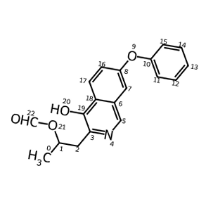 CC(Cc1ncc2cc(Oc3ccccc3)ccc2c1O)OC=O